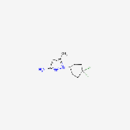 Cc1cc(N)nn1C1CCC(F)(F)CC1